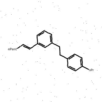 CCCCC/C=C/c1cccc(CCc2ccc(CCC)cc2)c1